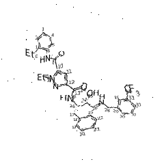 CCc1ccccc1NC(=O)c1cc(C(=O)N[C@@H](Cc2ccccc2)[C@H](O)CNCc2cccc(C(F)(F)F)c2)nn1CC